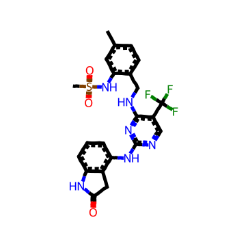 Cc1ccc(CNc2nc(Nc3cccc4c3CC(=O)N4)ncc2C(F)(F)F)c(NS(C)(=O)=O)c1